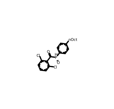 CCCCCCCCc1ccc([PH](=O)C(=O)c2c(Cl)cccc2Cl)cc1